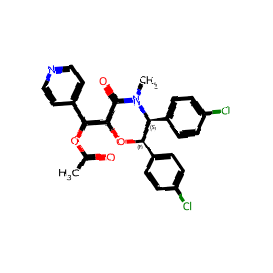 CC(=O)OC(c1ccncc1)C1O[C@H](c2ccc(Cl)cc2)[C@H](c2ccc(Cl)cc2)N(C)C1=O